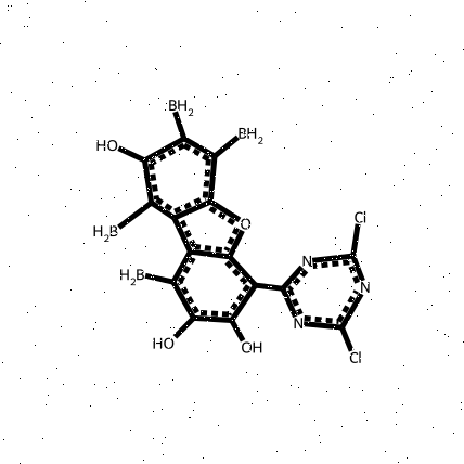 Bc1c(O)c(B)c2c(oc3c(-c4nc(Cl)nc(Cl)n4)c(O)c(O)c(B)c32)c1B